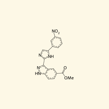 COC(=O)c1ccc2[nH]nc(-c3ncc(-c4cccc([N+](=O)[O-])c4)[nH]3)c2c1